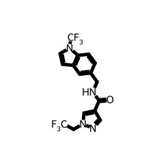 O=C(NCc1ccc2c(ccn2C(F)(F)F)c1)c1cnn(CC(F)(F)F)c1